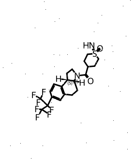 N=S1(=O)CCC(C(=O)N2CC[C@H]3c4ccc(C(F)(C(F)(F)F)C(F)(F)F)cc4CC[C@H]32)CC1